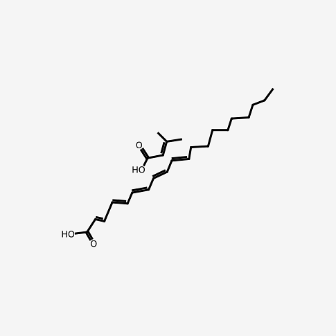 CC(C)=CC(=O)O.CCCCCCCCCC=CC=CC=CC=CC=CC(=O)O